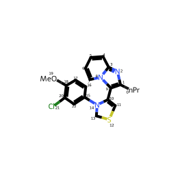 CCCc1nc2ccccn2c1C1=CSCN1c1ccc(OC)c(Cl)c1